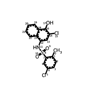 Cc1ccc(Cl)cc1S(=O)(=O)Nc1cc(Cl)c(O)c2ccccc12